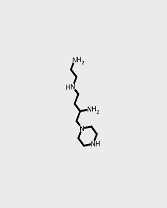 NCCNCCC(N)CN1CCNCC1